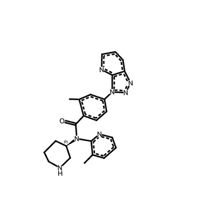 Cc1cc(-n2nnc3cccnc32)ccc1C(=O)N(c1ncccc1C)[C@@H]1CCCNC1